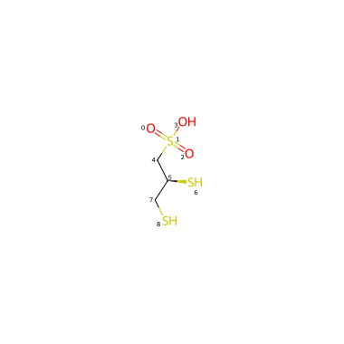 O=S(=O)(O)C[C@@H](S)CS